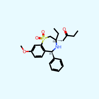 CCC(=O)C[C@@]1(CC)CS(=O)(=O)c2cc(OC)ccc2[C@H](c2ccccc2)N1